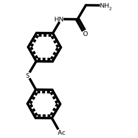 CC(=O)c1ccc(Sc2ccc(NC(=O)CN)cc2)cc1